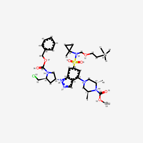 C[C@H]1CN(c2cc(S(=O)(=O)N(COCC[Si](C)(C)C)C3(C)CC3)cc3c2cnn3[C@@H]2C[C@@H](CCl)N(C(=O)OCc3ccccc3)C2)C[C@H](C)N1C(=O)OC(C)(C)C